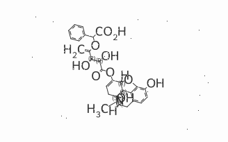 C=C(OC(C(=O)O)c1ccccc1)[C@H](O)[C@@H](O)C(=O)OC1=CC[C@@]2(O)[C@H]3Cc4ccc(O)c5c4[C@@]2(CCN3C)[C@H]1O5